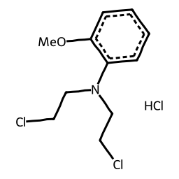 COc1ccccc1N(CCCl)CCCl.Cl